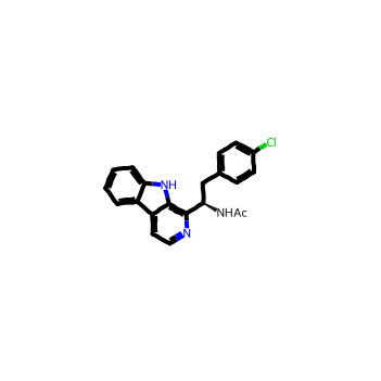 CC(=O)N[C@H](Cc1ccc(Cl)cc1)c1nccc2c1[nH]c1ccccc12